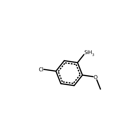 COc1ccc(Cl)cc1[SiH3]